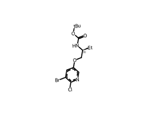 CC[C@@H](COc1cnc(Cl)c(Br)c1)NC(=O)OC(C)(C)C